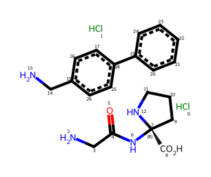 Cl.Cl.NCC(=O)N[C@@]1(C(=O)O)CCCN1.NCc1ccc(-c2ccccc2)cc1